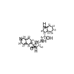 C[C@H](CNCC(O)c1c[nH]c2ccccc12)NS(=O)(=O)c1ccc2cnccc2c1